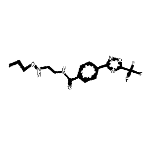 CCCONCCNC(=O)c1ccc(-c2noc(C(F)(F)F)n2)cc1